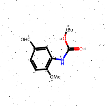 COc1ccc(C=O)cc1NC(=O)OC(C)(C)C